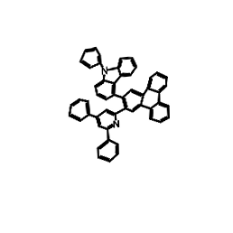 c1ccc(-c2cc(-c3ccccc3)nc(-c3cc4c5ccccc5c5ccccc5c4cc3-c3cccc4c3c3ccccc3n4-c3ccccc3)c2)cc1